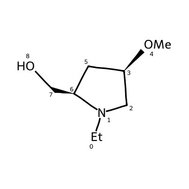 CCN1C[C@H](OC)C[C@@H]1CO